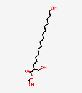 O=C(OCO)C(CO)CCCCCCCCCCCCCCCO